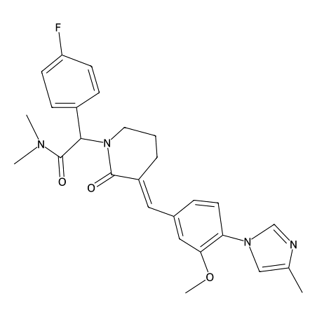 COc1cc(C=C2CCCN(C(C(=O)N(C)C)c3ccc(F)cc3)C2=O)ccc1-n1cnc(C)c1